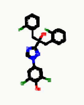 Oc1c(Cl)cc(-n2cnc(C(O)(Cc3ccccc3F)Cc3ccccc3F)n2)cc1Cl